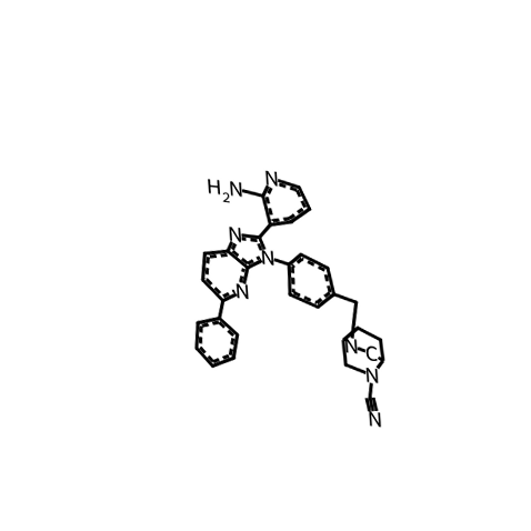 N#CN1CC2CCC1CN2Cc1ccc(-n2c(-c3cccnc3N)nc3ccc(-c4ccccc4)nc32)cc1